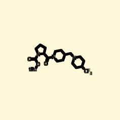 CC(C)(C)OC(=O)N1CCCC1C(=O)N1CCC(CN2CCC(C(F)(F)F)CC2)CC1